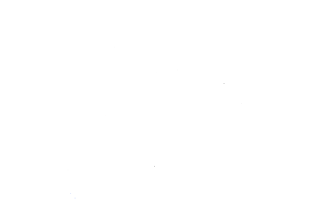 c1ccc2c(c1)oc1c2ccc2oc3cc(-c4ccncc4)c4oc5ccccc5c4c3c21